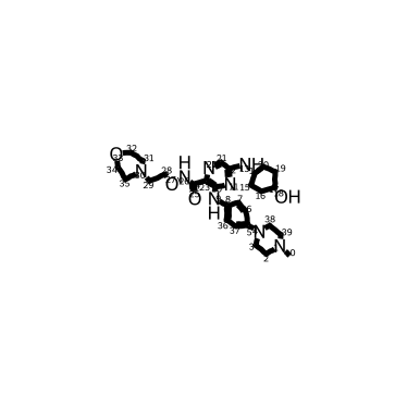 CN1CCN(c2ccc(Nc3nc(N[C@H]4CC[C@H](O)CC4)cnc3C(=O)NOCCN3CCOCC3)cc2)CC1